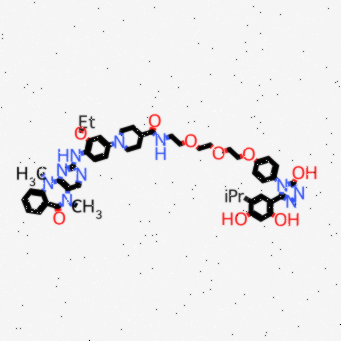 CCOc1cc(N2CCC(C(=O)NCCOCCOCCOc3ccc(-n4c(O)nnc4-c4cc(C(C)C)c(O)cc4O)cc3)CC2)ccc1Nc1ncc2c(n1)N(C)c1ccccc1C(=O)N2C